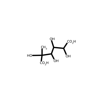 CC(O)(C(=O)O)C(O)C(O)C(O)C(=O)O